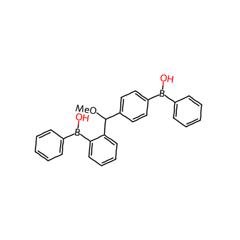 COC(c1ccc(B(O)c2ccccc2)cc1)c1ccccc1B(O)c1ccccc1